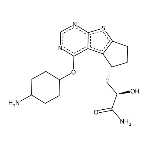 NC(=O)[C@H](O)C[C@H]1CCc2sc3ncnc(OC4CCC(N)CC4)c3c21